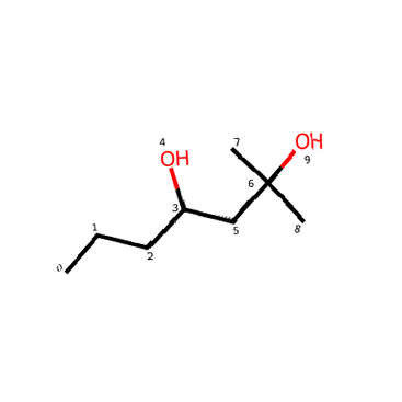 CCCC(O)CC(C)(C)O